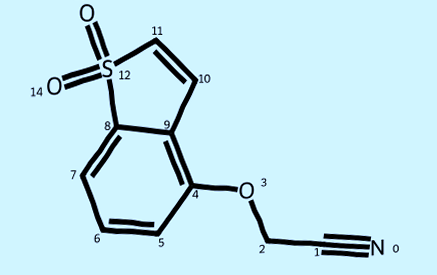 N#CCOc1cccc2c1C=CS2(=O)=O